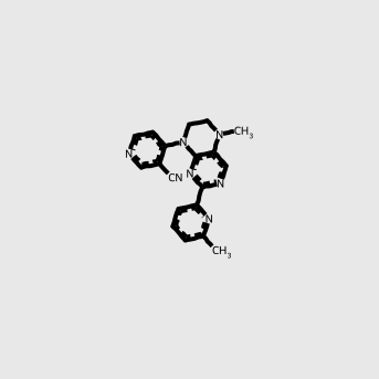 Cc1cccc(-c2ncc3c(n2)N(c2ccncc2C#N)CCN3C)n1